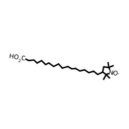 CC1(C)CC(CCCCCCCCCCCCCCCCCC(=O)O)C(C)(C)N1[O]